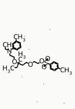 CCN(CCOC(C)(CC)CCOCCOS(=O)(=O)c1ccc(C)cc1)c1cccc(C)c1